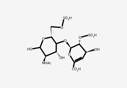 CC(=O)N[C@H]1C(O)O[C@H](COS(=O)(=O)O)C(O[C@@H]2OC(C(=O)O)=C[C@H](O)[C@H]2OS(=O)(=O)O)[C@@H]1O